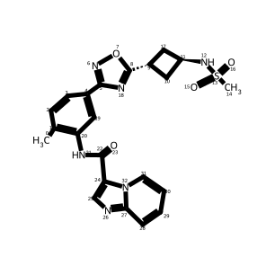 Cc1ccc(-c2noc([C@H]3C[C@H](NS(C)(=O)=O)C3)n2)cc1NC(=O)c1cnc2ccccn12